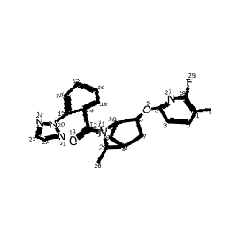 Cc1ccc(OC2CC3CC2N(C(=O)c2ccccc2-n2nccn2)C3C)nc1F